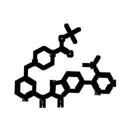 CN(C)c1cncnc1-c1ccc2nc(Nc3cc(CN4CCN(C(=O)OC(C)(C)C)CC4)ccn3)[nH]c2c1